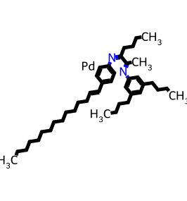 CCCCCCCCCCCCCC=Cc1ccc(N=C(CCCC)C(C)=Nc2cc(CCCC)cc(CCCC)c2)cc1.[Pd]